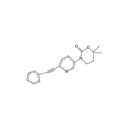 CC1(C)CCN(c2ccc(C#Cc3ccccc3)nc2)C(=O)O1